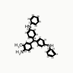 Cc1cc(C(c2ccc(Nc3ccccc3)cc2)c2ccc(Nc3ccccc3)cc2)ccc1N